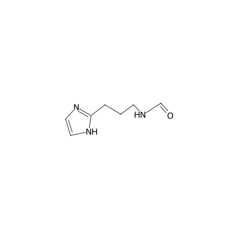 O=CNCCCc1ncc[nH]1